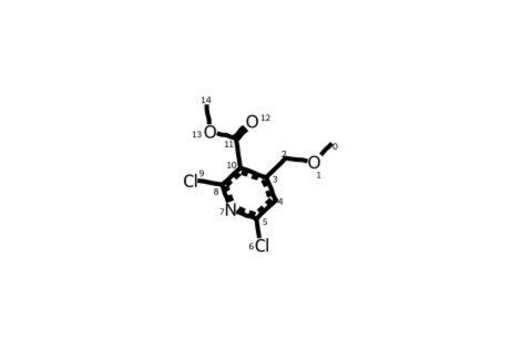 COCc1cc(Cl)nc(Cl)c1C(=O)OC